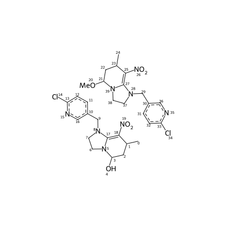 CC1CC(O)N2CCN(Cc3ccc(Cl)nc3)C2=C1[N+](=O)[O-].COC1CC(C)C([N+](=O)[O-])=C2N(Cc3ccc(Cl)nc3)CCN21